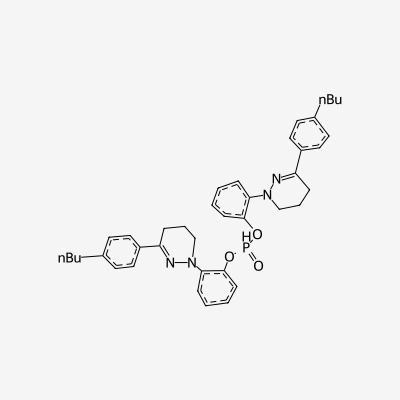 CCCCc1ccc(C2=NN(c3ccccc3O[PH](=O)Oc3ccccc3N3CCCC(c4ccc(CCCC)cc4)=N3)CCC2)cc1